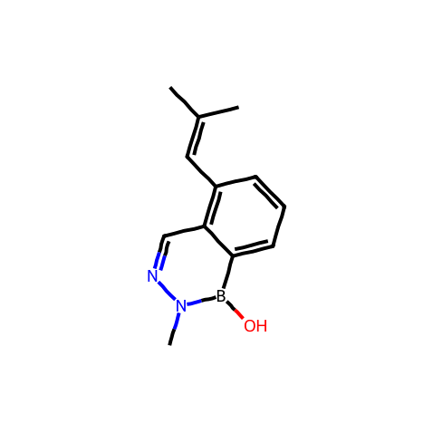 CC(C)=Cc1cccc2c1C=NN(C)B2O